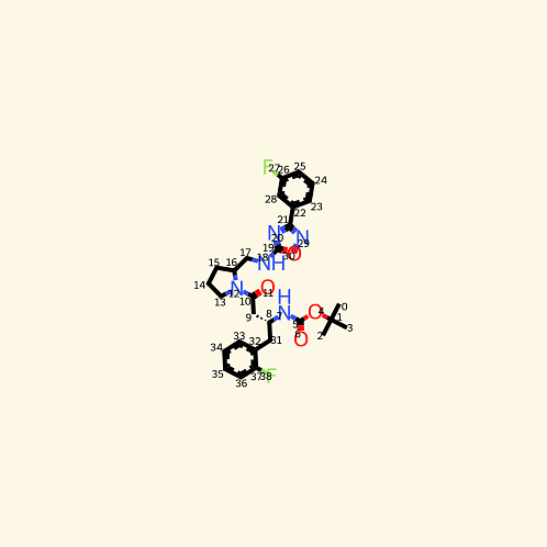 CC(C)(C)OC(=O)N[C@@H](CC(=O)N1CCCC1CNc1nc(-c2cccc(F)c2)no1)Cc1ccccc1F